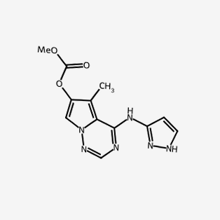 COC(=O)Oc1cn2ncnc(Nc3cc[nH]n3)c2c1C